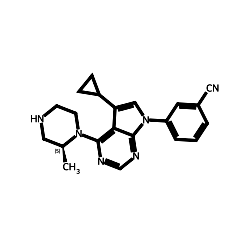 C[C@H]1CNCCN1c1ncnc2c1c(C1CC1)cn2-c1cccc(C#N)c1